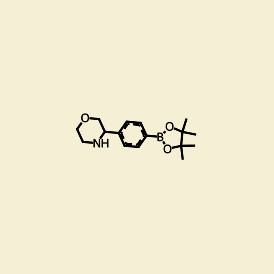 CC1(C)OB(c2ccc(C3COCCN3)cc2)OC1(C)C